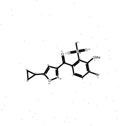 CSc1c(Br)ccc(C(=O)c2cc(C3CC3)on2)c1S(C)(=O)=O